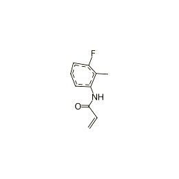 C=CC(=O)Nc1cccc(F)c1C